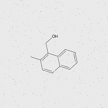 Cc1ccc2ccccc2c1CO